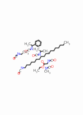 CC(C)N=C=O.CC(N=C=O)c1ccccc1.CCCCCCCCCCCCCCCCCCN=C=O.CCN=C=O.CCOC(=O)CN=C=O.CN=C=O